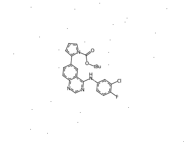 CC(C)(C)OC(=O)n1cccc1-c1ccc2ncnc(Nc3ccc(F)c(Cl)c3)c2c1